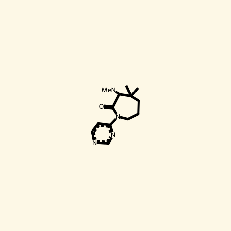 CNC1C(=O)N(c2ccncn2)CCCC1(C)C